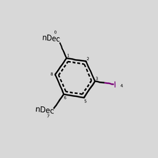 CCCCCCCCCCc1cc(I)cc(CCCCCCCCCC)c1